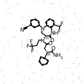 N#Cc1cccc(N2C[C@H](N(CCC(F)(F)F)C(=O)C[C@@H](C(N)=O)c3ccccc3)C(=O)Nc3c(C(F)F)cccc32)c1